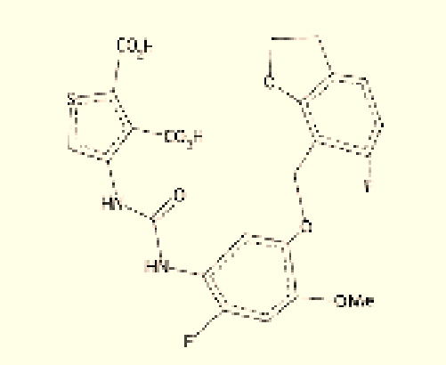 COc1cc(F)c(NC(=O)Nc2csc(C(=O)O)c2C(=O)O)cc1OCc1c(F)ccc2c1OCC2